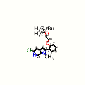 Cn1c(-c2ccccc2OCCO[Si](C)(C)C(C)(C)C)cc2cc(Cl)ncc21